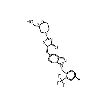 O=C1N=C(N2CCO[C@H](CO)C2)SC1=Cc1ccc2c(cnn2Cc2ccc(F)cc2C(F)(F)F)c1